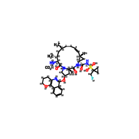 C[C@H]1CCC=C[C@@H]2C[C@@]2(C(=O)NS(=O)(=O)C2(CF)CC2)NC(=O)[C@@H]2C[C@@H](Oc3nc4c(c5ccccc35)OCCC4)CN2C(=O)[C@@H](NC(=O)O)[C@H](C)C1